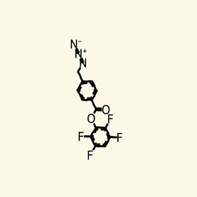 [N-]=[N+]=NCc1ccc(C(=O)Oc2c(F)c(F)cc(F)c2F)cc1